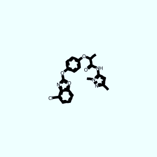 Cc1cc(NC(=O)C(C)Oc2ccc(Oc3nc4c(Cl)cccc4o3)cc2)n(C)n1